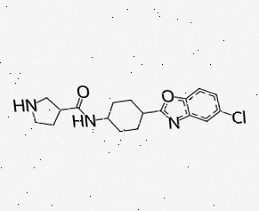 O=C(NC1CCC(c2nc3cc(Cl)ccc3o2)CC1)C1CCNC1